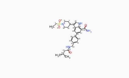 CCS(=O)(=O)N1CCC(c2c[nH]c3c(C(N)=O)cc(-c4ccc(CNC(=O)CC(C)C)cc4)cc23)CC1